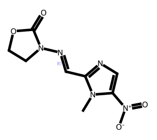 Cn1c([N+](=O)[O-])cnc1/C=N/N1CCOC1=O